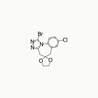 Clc1ccc2c(c1)CC1(Cc3nnc(Br)n3-2)OCCO1